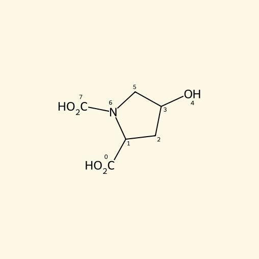 O=C(O)C1CC(O)CN1C(=O)O